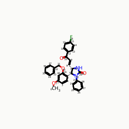 COc1ccc([C@@H]2[C@H](/C=C/C(=O)c3ccc(F)cc3)NC(=O)N2c2ccccc2)c(OCc2ccccc2)c1